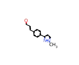 Cn1ccc(-c2ccc(/C=C/C=O)cc2)n1